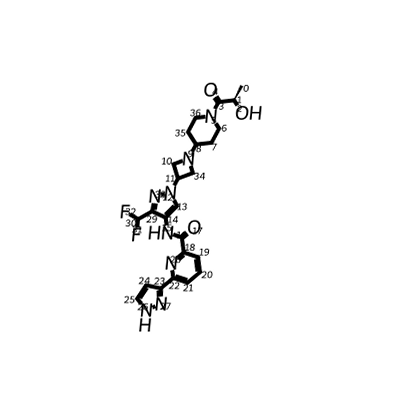 C[C@@H](O)C(=O)N1CCC(N2CC(n3cc(NC(=O)c4cccc(-c5cc[nH]n5)n4)c(C(F)F)n3)C2)CC1